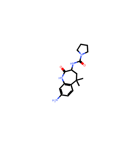 CC1(C)CC(NC(=O)N2CCCC2)C(=O)Nc2cc(N)ccc21